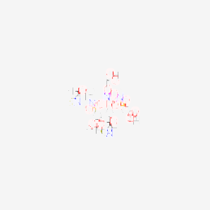 [2H]C1([2H])Oc2ccc(S(=O)(=O)N(CC(C)C)C[C@@H](O)[C@H](Cc3ccc(OC([2H])([2H])c4csc(C)n4)cc3)N(C(=O)O[C@H]3CO[C@H]4OCC[C@H]43)[C@@H](Cc3ccc(OC([2H])([2H])c4csc(C)n4)cc3)[C@H](O)CN(CC(C)C)S(=O)(=O)c3ccc4c(c3)OC([2H])([2H])O4)cc2O1